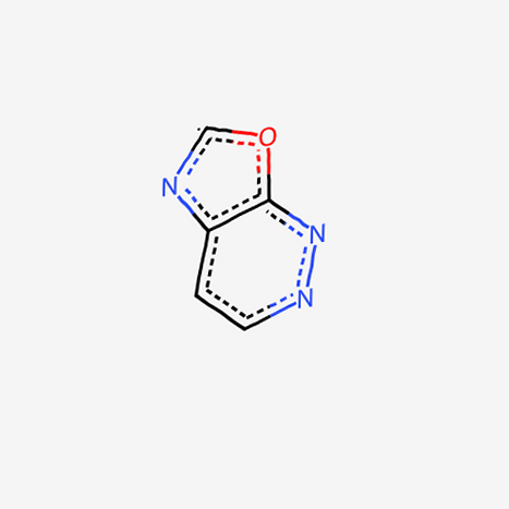 [c]1nc2ccnnc2o1